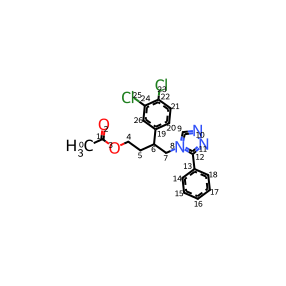 CC(=O)OCCC(Cn1cnnc1-c1ccccc1)c1ccc(Cl)c(Cl)c1